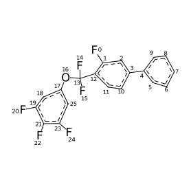 Fc1cc(-c2ccccc2)ccc1C(F)(F)Oc1cc(F)c(F)c(F)c1